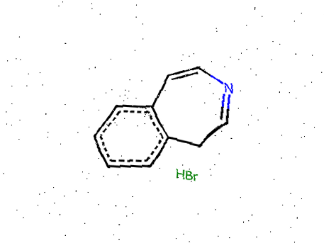 Br.C1=Cc2ccccc2CC=N1